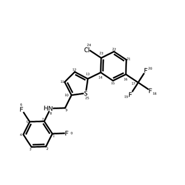 Fc1cccc(F)c1NCc1ccc(-c2cc(C(F)(F)F)ccc2Cl)s1